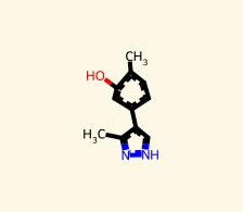 Cc1ccc(-c2c[nH]nc2C)cc1O